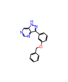 c1ccc(COc2cccc(-c3n[nH]c4cncnc34)c2)cc1